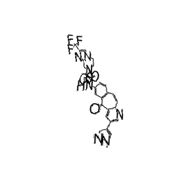 Cn1cc(-c2cnc3ccc4ccc(NS(=O)(=O)N5CCn6cc(C(F)(F)F)nc6C5)cc4c(=O)c3c2)cn1